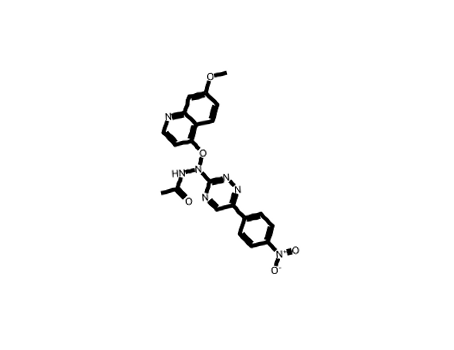 COc1ccc2c(ON(NC(C)=O)c3ncc(-c4ccc([N+](=O)[O-])cc4)nn3)ccnc2c1